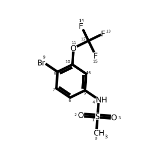 CS(=O)(=O)Nc1ccc(Br)c(OC(F)(F)F)c1